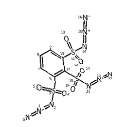 [N-]=[N+]=NS(=O)(=O)c1cccc(S(=O)(=O)N=[N+]=[N-])c1S(=O)(=O)N=[N+]=[N-]